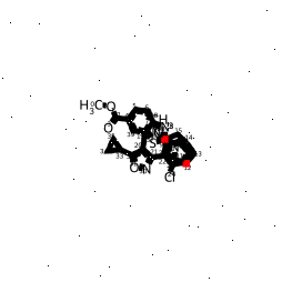 COC(=O)c1ccc2nc(N3C4CCC3CC(N(C)Cc3c(-c5c(Cl)cccc5Cl)noc3C3CC3)C4)sc2c1